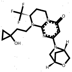 O=c1cc(N2C[C@@H]3C[C@H]2CO3)nc2n1CC[C@@H](C(F)(F)F)N2CCC1(O)CC1